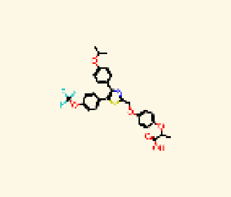 CC(C)Oc1ccc(-c2nc(COc3ccc(OC(C)C(=O)O)cc3)sc2-c2ccc(OC(F)(F)F)cc2)cc1